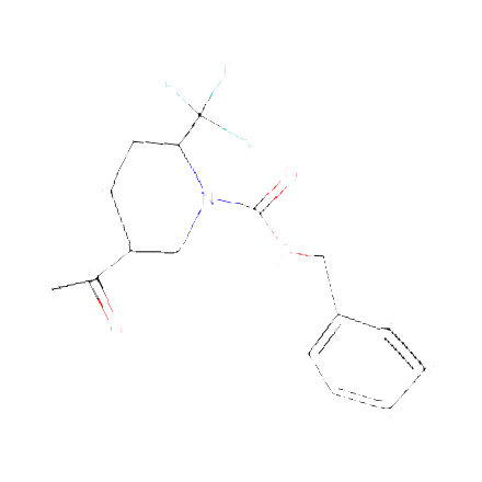 CC(=O)C1CCC(C(F)(F)F)N(C(=O)OCc2ccccc2)C1